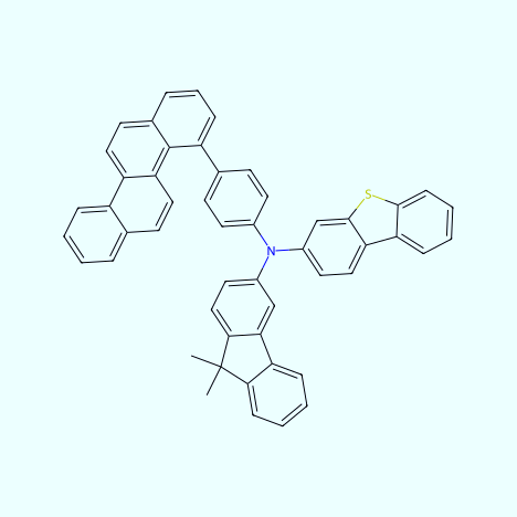 CC1(C)c2ccccc2-c2cc(N(c3ccc(-c4cccc5ccc6c7ccccc7ccc6c45)cc3)c3ccc4c(c3)sc3ccccc34)ccc21